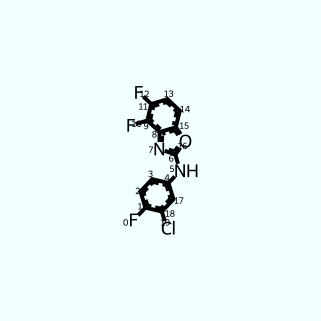 Fc1ccc(Nc2nc3c(F)c(F)ccc3o2)cc1Cl